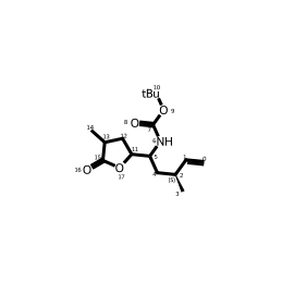 C=C[C@@H](C)CC(NC(=O)OC(C)(C)C)C1CC(C)C(=O)O1